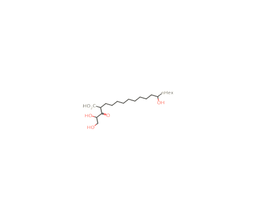 CCCCCCC(O)CCCCCCCCCC(C(=O)O)C(=O)C(O)CO